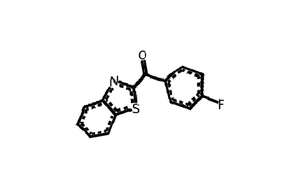 O=C(c1ccc(F)cc1)c1nc2ccccc2s1